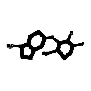 Cn1cnc2cc(Oc3c([N+](=O)[O-])ccc(F)c3Cl)cnc21